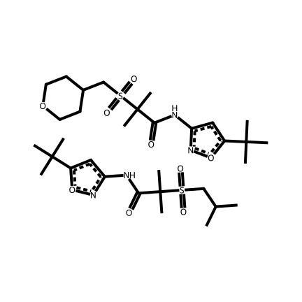 CC(C)(C)c1cc(NC(=O)C(C)(C)S(=O)(=O)CC2CCOCC2)no1.CC(C)CS(=O)(=O)C(C)(C)C(=O)Nc1cc(C(C)(C)C)on1